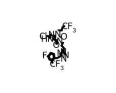 O=c1c2[nH]c(Cl)nc2n(CCCC(F)(F)F)c(=O)n1CCCn1nnc(Cc2ccc(F)cc2C(F)(F)F)n1